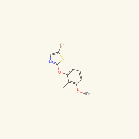 Cc1c(Oc2ncc(Br)s2)cccc1OC(C)C